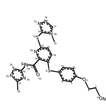 COCCOc1ccc(Sc2ccc(Sc3nncn3C)nc2C(=O)Nc2nc(C)ns2)cc1